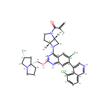 C=C(F)C(=O)N1CC[C@@H]2[C@H]1CN2c1nc(OC[C@]23CCCN2C[C@H](F)C3)nc2cc(-c3cncc4cccc(Cl)c34)c(F)cc12